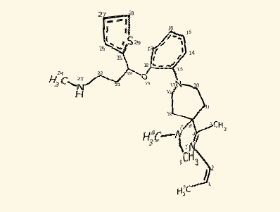 C/C=C\N=C(/C)C1(N(C)C)CCN(c2ccccc2OC(CCNC)c2cccs2)CC1